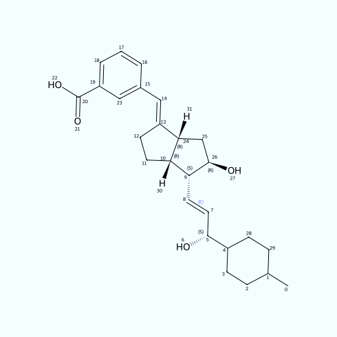 CC1CCC([C@H](O)/C=C/[C@@H]2[C@@H]3CCC(=Cc4cccc(C(=O)O)c4)[C@@H]3C[C@H]2O)CC1